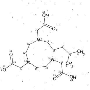 CC(C)CC1CN(CC(=O)O)CCN(CC(=O)O)CCN1CC(=O)O